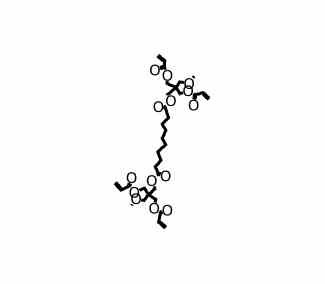 C=CC(=O)OCC(COC)(COC(=O)C=C)COC(=O)CCCCCCCCC(=O)OCC(COC)(COC(=O)C=C)COC(=O)C=C